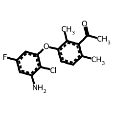 CC(=O)c1c(C)ccc(Oc2cc(F)cc(N)c2Cl)c1C